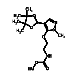 Cn1ncc(B2OC(C)(C)C(C)(C)O2)c1OCCNC(=O)OC(C)(C)C